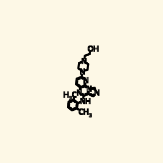 Cc1cccc(C)c1Nc1nc2ccc(N3CCN(CCO)CC3)nc2n2cncc12